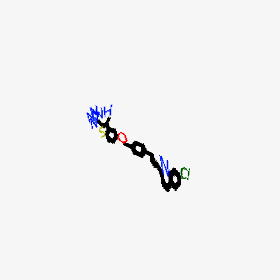 Cc1c(-c2nnn[nH]2)sc2ccc(OCc3ccc(C=Cc4ccc5ccc(Cl)cc5n4)cc3)cc12